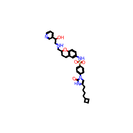 O=c1[nH]c(CCCCC2CCC2)cn1-c1ccc(S(=O)(=O)Nc2ccc3c(c2)CCC(CNCC(O)c2cccnc2)O3)cc1